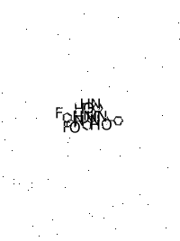 O=C(Nc1cccc2nc(-c3c(NC[C@@H](O)c4ccccc4)cc[nH]c3=O)[nH]c12)c1ccc(F)cc1F